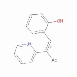 CC(=O)/C(=C/c1ccccc1O)c1ccccn1